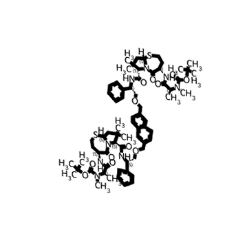 C[C@@H](C(=O)N[C@H]1CCS[C@H]2CC(C)(C)[C@@H](C(=O)N[C@H](COCc3ccc4cc(COC[C@@H](NC(=O)[C@H]5N6C(=O)[C@@H](NC(=O)[C@H](C)N(C)C(=O)OC(C)(C)C)CCS[C@H]6CC5(C)C)c5ccccc5)ccc4c3)c3ccccc3)N2C1=O)N(C)C(=O)OC(C)(C)C